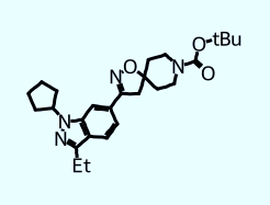 CCc1nn(C2CCCC2)c2cc(C3=NOC4(CCN(C(=O)OC(C)(C)C)CC4)C3)ccc12